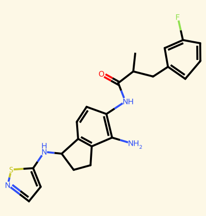 CC(Cc1cccc(F)c1)C(=O)Nc1ccc2c(c1N)CCC2Nc1ccns1